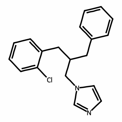 Clc1ccccc1CC(Cc1ccccc1)Cn1ccnc1